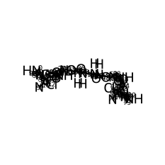 CC1CN([C@H]2Cc3c(C#N)cc(Cl)cc3[C@@H]2Oc2ccc(S(=O)(=O)N[C@H]3CCN(CCOCCNC(=O)NCCCCNC(=O)NCCOCCN4CC[C@H](NS(=O)(=O)c5ccc(O[C@H]6c7cc(Cl)cc(C#N)c7C[C@@H]6N6CC(C)N[C@@H](C)C6)cc5)C4)C3)cc2)C[C@H](C)N1